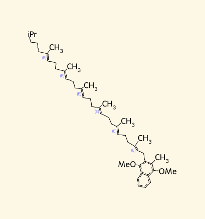 COc1c(C)c(C/C=C(\C)CC/C=C(\C)CC/C=C(\C)CC/C=C(\C)CC/C=C(\C)CC/C=C(\C)CCCC(C)C)c(OC)c2ccccc12